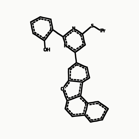 CC(C)Sc1cc(-c2ccc3c(c2)oc2ccc4ccccc4c23)nc(-c2ccccc2O)n1